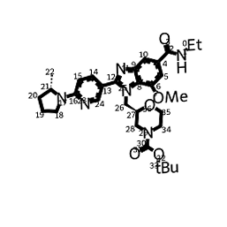 CCNC(=O)c1cc(OC)c2c(c1)nc(-c1ccc(N3CCC[C@@H]3C)nc1)n2C[C@@H]1CN(C(=O)OC(C)(C)C)CCO1